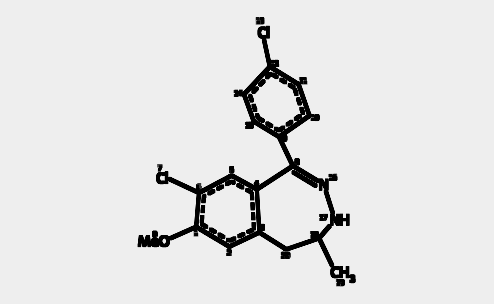 COc1cc2c(cc1Cl)C(c1ccc(Cl)cc1)=NNC(C)C2